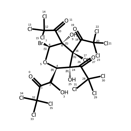 O=C(C(O)[C@H]1O[C@@H](Br)[C@@](O)(C(=O)C(Cl)(Cl)Cl)[C@](O)(C(=O)C(Cl)(Cl)Cl)[C@@]1(O)C(=O)C(Cl)(Cl)Cl)C(Cl)(Cl)Cl